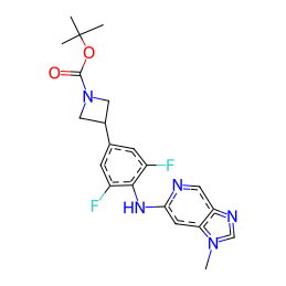 Cn1cnc2cnc(Nc3c(F)cc(C4CN(C(=O)OC(C)(C)C)C4)cc3F)cc21